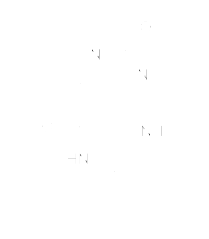 Cc1[nH]c(=O)nc2c1C(=O)Nc1ccccc1N2